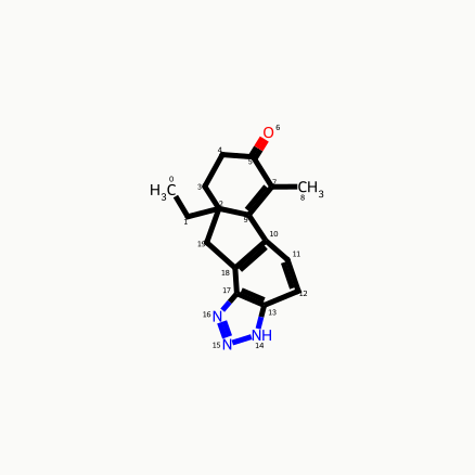 CCC12CCC(=O)C(C)=C1c1ccc3[nH]nnc3c1C2